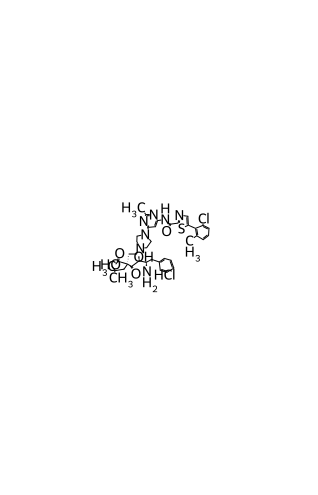 Cc1nc(NC(=O)c2ncc(-c3c(C)cccc3Cl)s2)cc(N2CCN(CC[C@](CC(C)C)(C(=O)O)C(=O)[C@@H](O)[C@H](N)Cc3ccccc3)CC2)n1.Cl